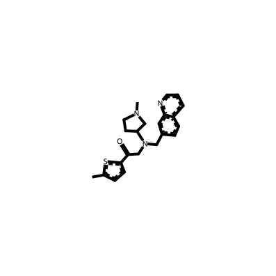 Cc1ccc(C(=O)CN(Cc2ccc3cccnc3c2)C2CCN(C)C2)s1